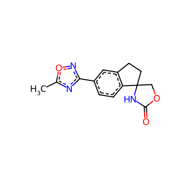 Cc1nc(-c2ccc3c(c2)CCC32COC(=O)N2)no1